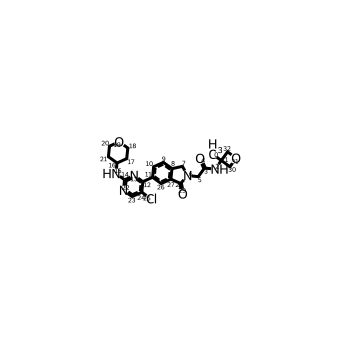 CC1(NC(=O)CN2Cc3ccc(-c4nc(NC5CCOCC5)ncc4Cl)cc3C2=O)COC1